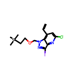 C=Cc1cc(Cl)nc2c(I)nn(COCC[Si](C)(C)C)c12